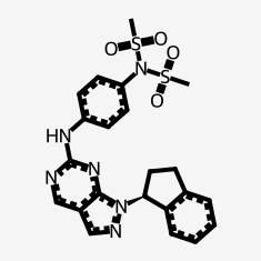 CS(=O)(=O)N(c1ccc(Nc2ncc3cnn([C@H]4CCc5ccccc54)c3n2)cc1)S(C)(=O)=O